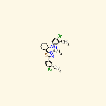 Cc1cc(NC2CCCC/C2=C2\SC(c3ccc(Br)c(C)c3)=NN2C)ccc1Br